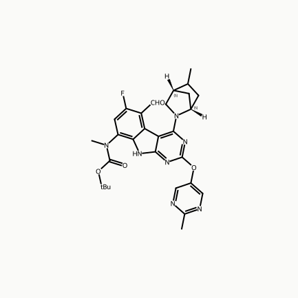 Cc1ncc(Oc2nc(N3C[C@H]4C[C@@H]3CC4C)c3c(n2)[nH]c2c(N(C)C(=O)OC(C)(C)C)cc(F)c(C=O)c23)cn1